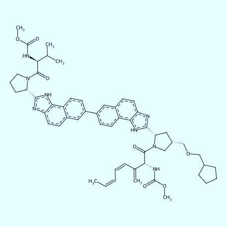 C=C(/C=C\C=C/C)[C@@H](NC(=O)OC)C(=O)N1C[C@@H](COCC2CCCC2)C[C@H]1c1nc2ccc3cc(-c4ccc5c(ccc6nc([C@@H]7CCCN7C(=O)[C@@H](NC(=O)OC)C(C)C)[nH]c65)c4)ccc3c2[nH]1